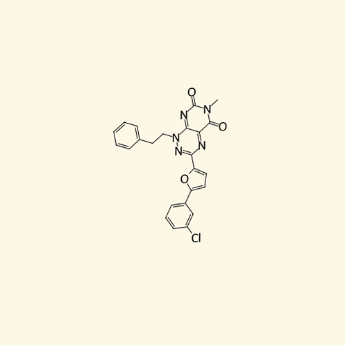 Cn1c(=O)nc2n(CCc3ccccc3)nc(-c3ccc(-c4cccc(Cl)c4)o3)nc-2c1=O